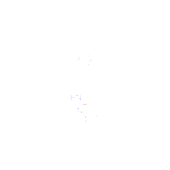 COc1ccc(OCCCNc2nc3ccccc3o2)cc1